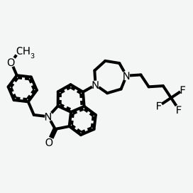 COc1ccc(CN2C(=O)c3cccc4c(N5CCCN(CCCC(F)(F)F)CC5)ccc2c34)cc1